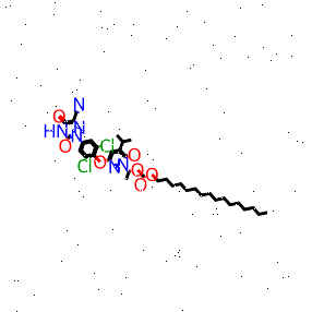 CCCCCCCCCCCCCCCCOC(=O)OC(C)n1nc(Oc2c(Cl)cc(-n3nc(C#N)c(=O)[nH]c3=O)cc2Cl)cc(C(C)C)c1=O